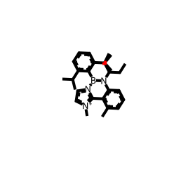 CCC(CC)N1B(c2c(C(C)C)cccc2C(C)C)n2cc[n+](C)c2-c2c(C)cccc21